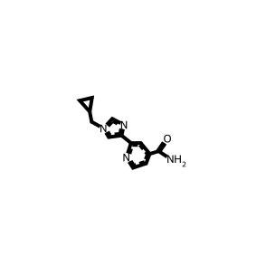 NC(=O)c1ccnc(-c2cn(CC3CC3)cn2)c1